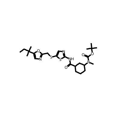 CCC(C)(C)c1cnc(CSc2cnc(NC(=O)C3CCCC(N(C)C(=O)OC(C)(C)C)C3)s2)o1